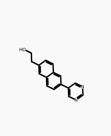 OCCc1ccc2cc(-c3cncnc3)ccc2c1